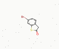 O=C1Cc2ccc(Br)cc2S1